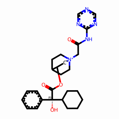 O=C(C[N+]12CCC(CC1)C(OC(=O)[C@](O)(c1ccccc1)C1CCCCC1)C2)Nc1ncncn1